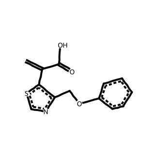 C=C(C(=O)O)c1scnc1COc1ccccc1